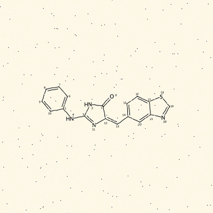 O=C1NC(Nc2ccccc2)=NC1=Cc1ccc2scnc2c1